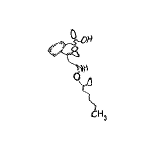 CCCCCC(=O)ONCC(=O)c1ccccc1S(=O)(=O)O